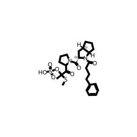 CSC(C)(OS(=O)(=O)O)C(=O)C1CCCN1C(=O)[C@@H]1C[C@@H]2CCC[C@@H]2N1C(=O)CCCc1ccccc1